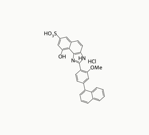 COc1cc(-c2cccc3ccccc23)ccc1-c1nc2c(ccc3cc(S(=O)(=O)O)cc(O)c32)[nH]1.Cl